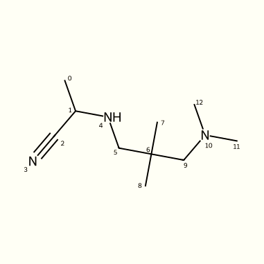 CC(C#N)NCC(C)(C)CN(C)C